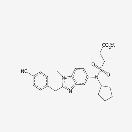 CCOC(=O)CCS(=O)(=O)N(c1ccc2c(c1)nc(Cc1ccc(C#N)cc1)n2C)C1CCCC1